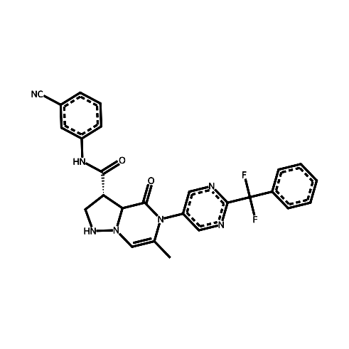 CC1=CN2NC[C@H](C(=O)Nc3cccc(C#N)c3)C2C(=O)N1c1cnc(C(F)(F)c2ccccc2)nc1